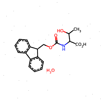 CC(O)C(NC(=O)OCC1c2ccccc2-c2ccccc21)C(=O)O.O